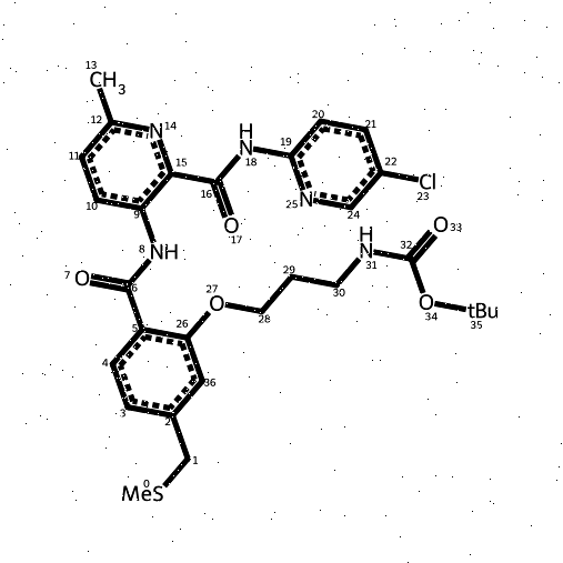 CSCc1ccc(C(=O)Nc2ccc(C)nc2C(=O)Nc2ccc(Cl)cn2)c(OCCCNC(=O)OC(C)(C)C)c1